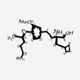 COc1cc(CC[C@@](N)(CO)CC2CCC2)ccc1OC(C)CCCC(C)C